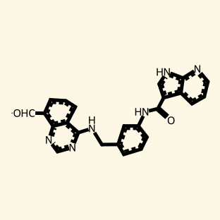 O=[C]c1cccc2c(NCc3cccc(NC(=O)c4c[nH]c5ncccc45)c3)ncnc12